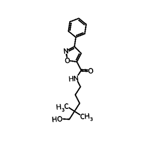 CC(C)(CO)CCCNC(=O)c1cc(-c2ccccc2)no1